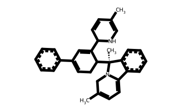 CC1=CNC(C2=CC(c3ccccc3)=CCC2[C@@]2(C)c3ccccc3C3=CC=C(C)CN32)C=C1